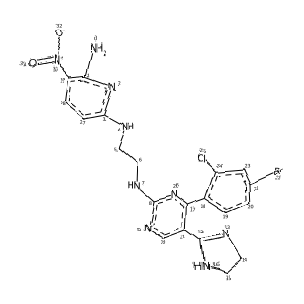 Nc1nc(NCCNc2ncc(C3=NCCN3)c(-c3ccc(Br)cc3Cl)n2)ccc1[N+](=O)[O-]